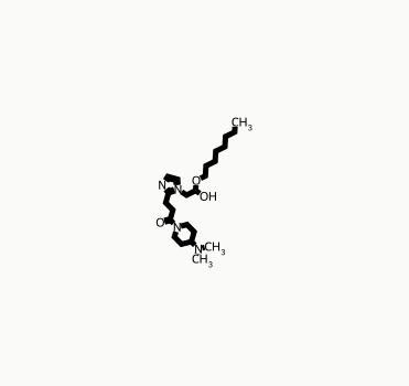 CCCCCCCCOC(O)Cn1ccnc1CCC(=O)N1CCC(N(C)C)CC1